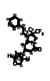 C[C@@]1(C(F)(F)F)Cn2c(nc(N3C[C@@H]4C[C@H]3CO4)cc2=O)N1CCc1cccnc1